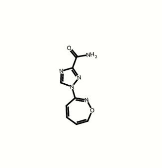 NC(=O)c1ncn(C2=NOC=CC=C2)n1